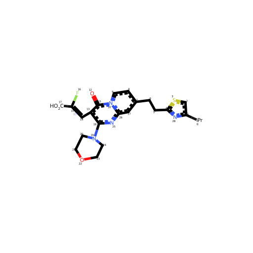 CC(C)c1csc(CCc2ccn3c(=O)c(/C=C(\F)C(=O)O)c(N4CCOCC4)nc3c2)n1